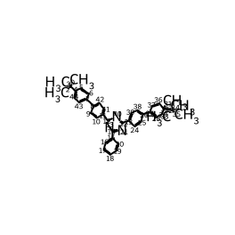 CC(C)(C)c1ccc(-c2ccc(-c3nc(-c4ccccc4)nc(-c4ccc(C5=CCC(C)(C(C)(C)C)C=C5)cc4)n3)cc2)cc1